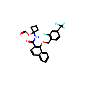 O=COC1(NC(=O)c2ccc3ccccc3c2OCc2ccc(C(F)(F)F)cc2F)CCC1